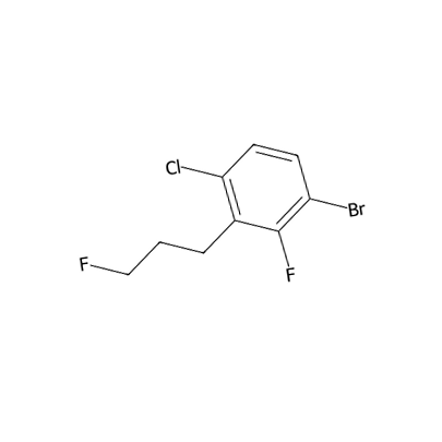 FCCCc1c(Cl)ccc(Br)c1F